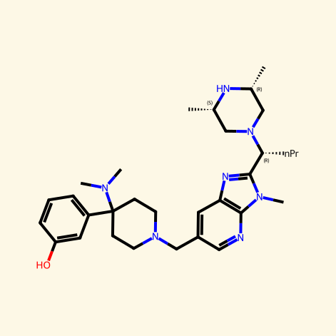 CCC[C@H](c1nc2cc(CN3CCC(c4cccc(O)c4)(N(C)C)CC3)cnc2n1C)N1C[C@@H](C)N[C@@H](C)C1